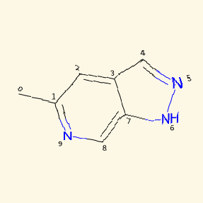 Cc1cc2cn[nH]c2cn1